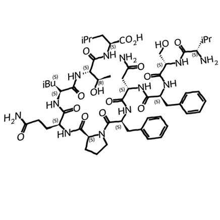 CC[C@H](C)[C@H](NC(=O)[C@H](CCC(N)=O)NC(=O)[C@@H]1CCCN1C(=O)[C@H](Cc1ccccc1)NC(=O)[C@H](CC(N)=O)NC(=O)[C@H](Cc1ccccc1)NC(=O)[C@H](CO)NC(=O)[C@@H](N)C(C)C)C(=O)N[C@H](C(=O)N[C@@H](CC(C)C)C(=O)O)[C@@H](C)O